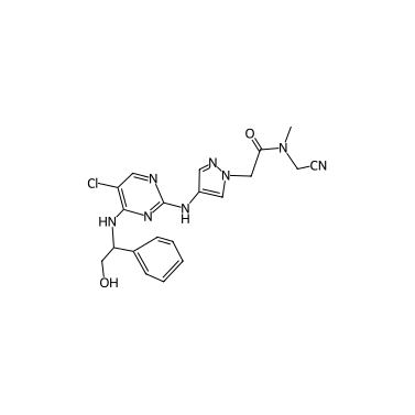 CN(CC#N)C(=O)Cn1cc(Nc2ncc(Cl)c(NC(CO)c3ccccc3)n2)cn1